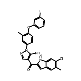 Cc1cc2cc(C(=O)c3cnn(-c4ccc(Oc5cccc(F)c5)c(C)c4)c3N)[nH]c2cc1Cl